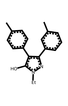 CCn1nc(-c2cccc(C)c2)c(-c2ccc(C)cc2)c1O